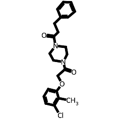 Cc1c(Cl)cccc1OCC(=O)N1CCN(C(=O)CCc2ccccc2)CC1